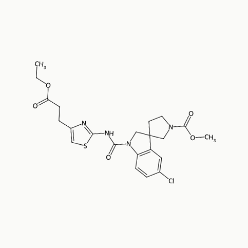 CCOC(=O)CCc1csc(NC(=O)N2CC3(CCN(C(=O)OC)C3)c3cc(Cl)ccc32)n1